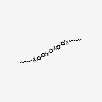 CCCCCCCCOC(=O)Oc1ccc(-c2ccc(OC(=O)[C@H]3CC[C@H](C(=O)Oc4ccc(-c5ccc(OC(=O)OCCCCCCCC)cc5)cc4)CC3)cc2)cc1